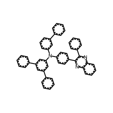 c1ccc(-c2cccc(N(c3ccc(-c4nc5ccccc5nc4-c4ccccc4)cc3)c3cc(-c4ccccc4)cc(-c4ccccc4)c3)c2)cc1